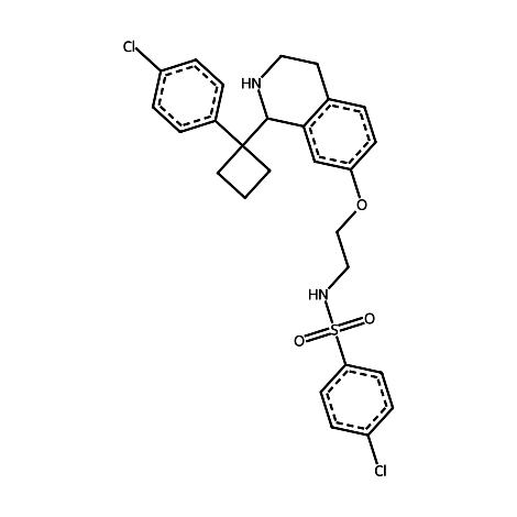 O=S(=O)(NCCOc1ccc2c(c1)C(C1(c3ccc(Cl)cc3)CCC1)NCC2)c1ccc(Cl)cc1